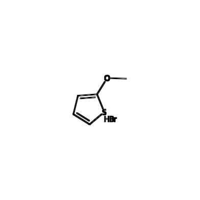 Br.COc1cccs1